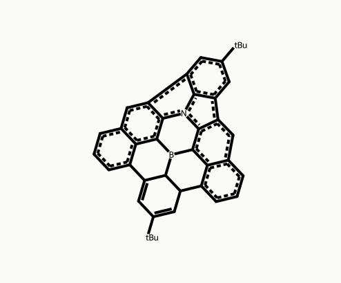 CC(C)(C)C1=CC2c3cccc4cc5c6cc(C(C)(C)C)cc7c8cc9cccc%10c9c9c8n(c5c(c34)B9C2C%10=C1)c76